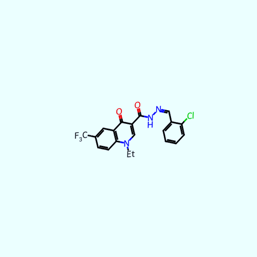 CCn1cc(C(=O)N/N=C\c2ccccc2Cl)c(=O)c2cc(C(F)(F)F)ccc21